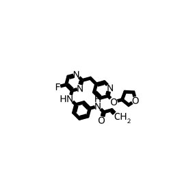 C=CC(=O)Nc1cccc(Nc2nc(Cc3ccc(OC4CCOC4)nc3)ncc2F)c1